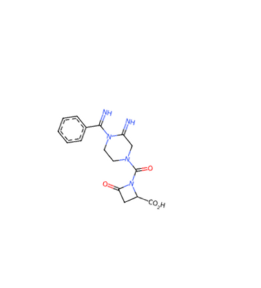 N=C1CN(C(=O)N2C(=O)CC2C(=O)O)CCN1C(=N)c1ccccc1